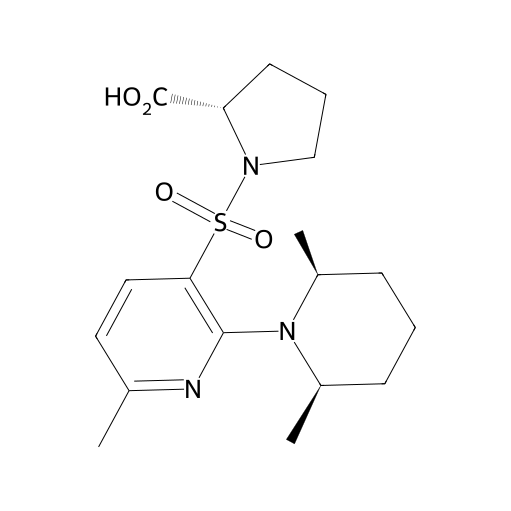 Cc1ccc(S(=O)(=O)N2CCC[C@H]2C(=O)O)c(N2[C@H](C)CCC[C@@H]2C)n1